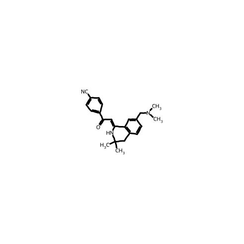 CN(C)Cc1ccc2c(c1)C(=CC(=O)c1ccc(C#N)cc1)NC(C)(C)C2